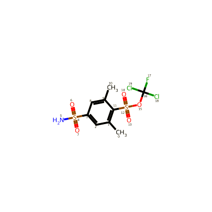 Cc1cc(S(N)(=O)=O)cc(C)c1S(=O)(=O)OC(F)(Cl)Cl